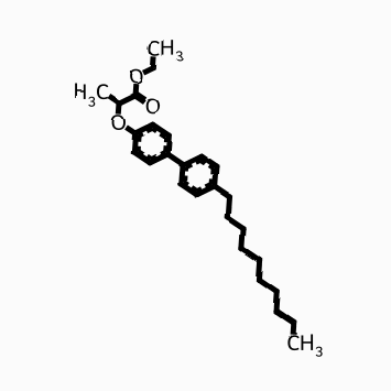 CCCCCCCCCCc1ccc(-c2ccc(OC(C)C(=O)OCC)cc2)cc1